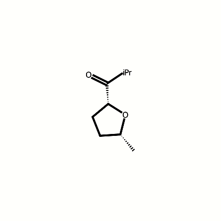 CC(C)C(=O)[C@H]1CC[C@@H](C)O1